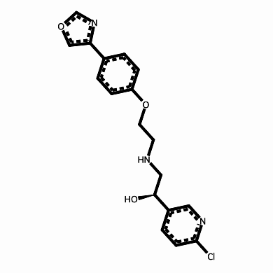 O[C@@H](CNCCOc1ccc(-c2cocn2)cc1)c1ccc(Cl)nc1